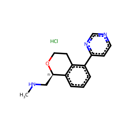 CNC[C@H]1OCCc2c(-c3ccncn3)cccc21.Cl